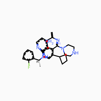 C=C(/N=C(\c1c(N)cncc1C1CCC1)N1CCNCC1)c1ccnc(N[C@H](C)c2ccccc2F)c1